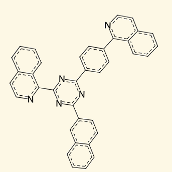 c1ccc2cc(-c3nc(-c4ccc(-c5nccc6ccccc56)cc4)nc(-c4nccc5ccccc45)n3)ccc2c1